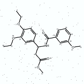 CCOc1ccc(C(CC(=O)OC)NC(=O)c2cccc(OC)c2)cc1OCC